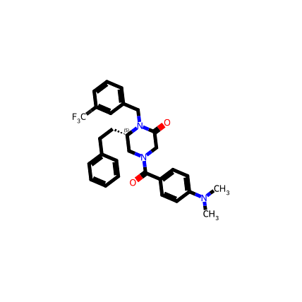 CN(C)c1ccc(C(=O)N2CC(=O)N(Cc3cccc(C(F)(F)F)c3)[C@@H](CCc3ccccc3)C2)cc1